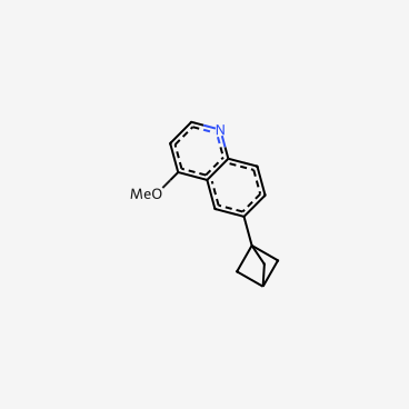 COc1ccnc2ccc(C34CC(C3)C4)cc12